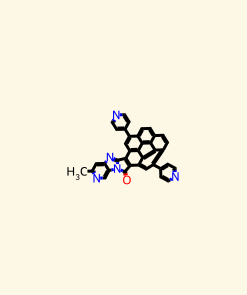 Cc1cc2nc3c4c5cc(-c6ccncc6)c6ccc7ccc8c(-c9ccncc9)cc(c4c(=O)n3c2cn1)c1c8c7c6c51